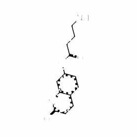 NCCCC(=O)Oc1ccc2ccc(=O)oc2c1